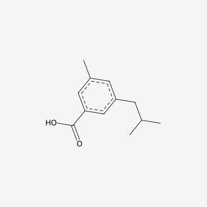 Cc1cc(CC(C)C)cc(C(=O)O)c1